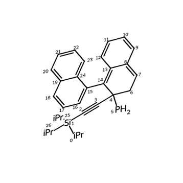 CC(C)[Si](C#CC1(P)CC=c2ccccc2=C1c1cccc2ccccc12)(C(C)C)C(C)C